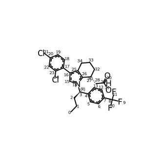 CCC[C@H](c1ccc(C(F)(F)F)cc1)n1cc(-c2ccc(Cl)cc2Cl)c2c1[C@@H](CC(=O)O)CCC2